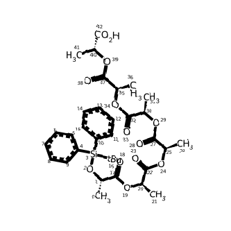 C[C@H](O[Si](c1ccccc1)(c1ccccc1)C(C)(C)C)C(=O)O[C@H](C)C(=O)O[C@H](C)C(=O)O[C@H](C)C(=O)O[C@H](C)C(=O)O[C@H](C)C(=O)O